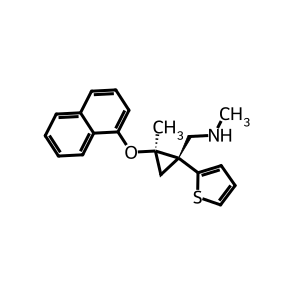 CNC[C@@]1(c2cccs2)C[C@@]1(C)Oc1cccc2ccccc12